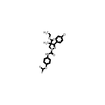 CCOC(=O)C1(C)CN(C(=O)Nc2ccc(OC(F)F)cc2)N=C1c1ccc(Cl)cc1